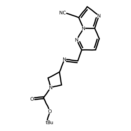 CC(C)(C)OC(=O)N1CC(N=Cc2ccc3ncc(C#N)n3n2)C1